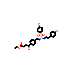 CCOC(=O)CCC(=O)c1ccc(CCN(CC=Cc2ccc(Cl)cc2)S(=O)(=O)c2ccc(Cl)cc2)cc1